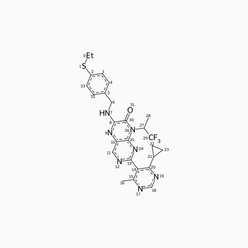 CCSc1ccc(CNc2nc3cnc(-c4c(C)ncnc4C4CC4)nc3n(C(C)C(F)(F)F)c2=O)cc1